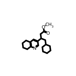 COC(=O)CC(CC1CCCCC1)c1cnc2c(c1)CCCC2